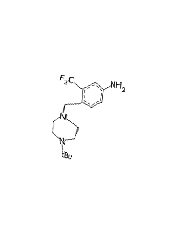 CC(C)(C)N1CCN(Cc2ccc(N)cc2C(F)(F)F)CC1